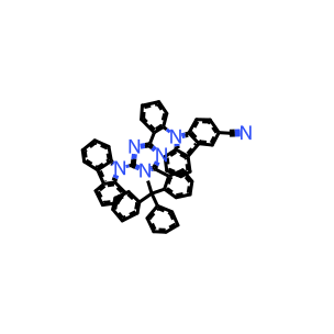 CC(c1ccccc1)(c1ccccc1)c1ccccc1-c1nc(-c2ccccc2-n2c3ccccc3c3cc(C#N)ccc32)nc(-n2c3ccccc3c3ccccc32)n1